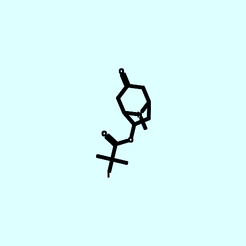 CN1C2CC(=O)CC1C(OC(=O)C(C)(C)I)C2